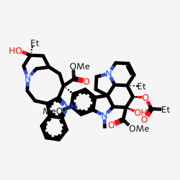 CCC(=O)O[C@@H]1[C@]2(CC)C=CCN3CCC4(c5cc([C@@]6(C(=O)OC)CC7CN(CCc8c6[nH]c6ccccc86)C[C@](O)(CC)C7)c(OC)cc5N(C)C4[C@@]1(O)C(=O)OC)C32